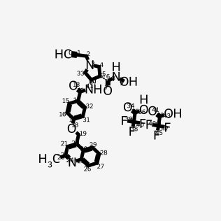 C#CCN1C[C@H](C(=O)NO)[C@H](NC(=O)c2ccc(OCc3cc(C)nc4ccccc34)cc2)C1.O=C(O)C(F)(F)F.O=C(O)C(F)(F)F